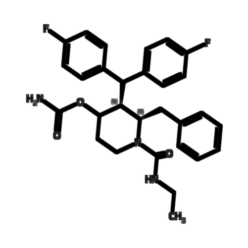 CCNC(=O)N1CCC(OC(N)=O)[C@@H](C(c2ccc(F)cc2)c2ccc(F)cc2)[C@H]1Cc1ccccc1